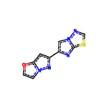 c1cn2nc(-c3cn4ncsc4n3)cc2o1